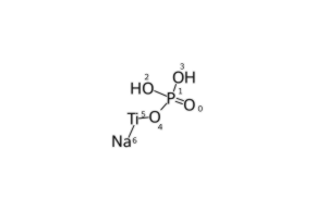 O=P(O)(O)[O][Ti][Na]